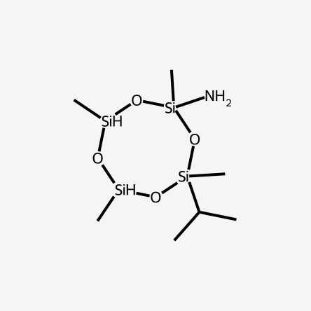 CC(C)[Si]1(C)O[SiH](C)O[SiH](C)O[Si](C)(N)O1